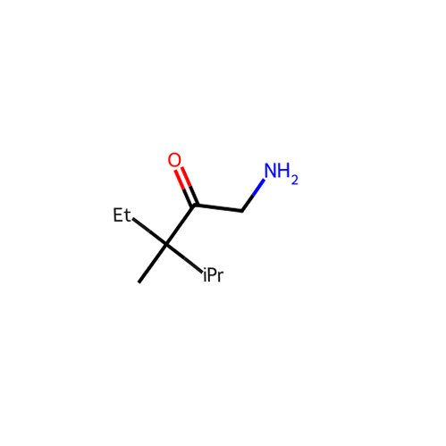 CCC(C)(C(=O)CN)C(C)C